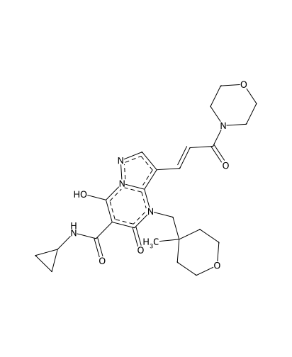 CC1(Cn2c(=O)c(C(=O)NC3CC3)c(O)n3ncc(C=CC(=O)N4CCOCC4)c23)CCOCC1